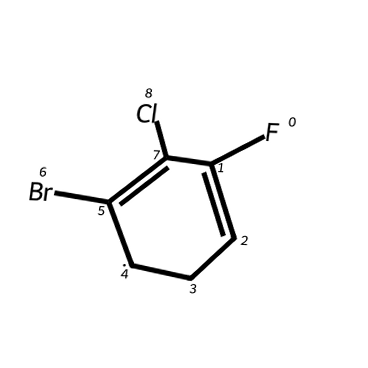 FC1=CC[CH]C(Br)=C1Cl